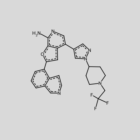 Nc1ncc(-c2cnn(C3CCN(CC(F)(F)F)CC3)c2)c2cc(-c3cccc4cnccc34)oc12